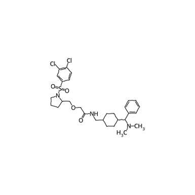 CN(C)C(c1ccccc1)C1CCC(CNC(=O)COCC2CCCN2S(=O)(=O)c2ccc(Cl)c(Cl)c2)CC1